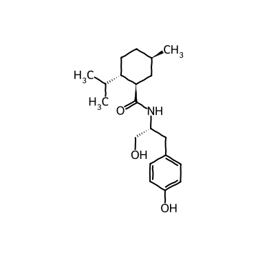 CC(C)[C@@H]1CC[C@@H](C)C[C@H]1C(=O)N[C@@H](CO)Cc1ccc(O)cc1